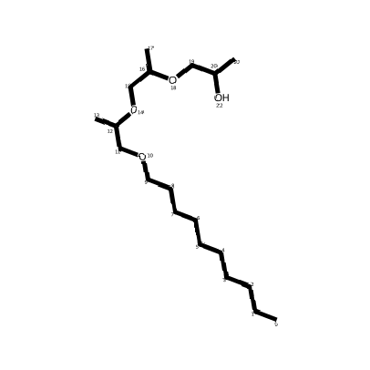 CCCCCCCCCCOCC(C)OCC(C)OCC(C)O